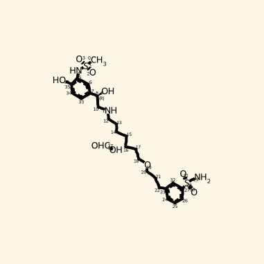 CS(=O)(=O)Nc1cc([C@@H](O)CNCCCCCCCOCCCc2cccc(S(N)(=O)=O)c2)ccc1O.O=CO